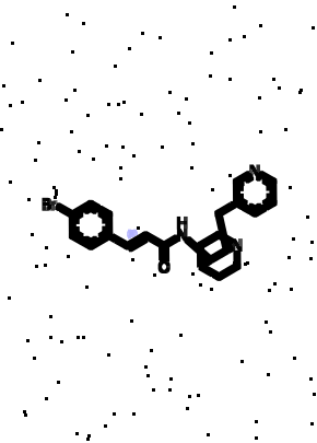 O=C(/C=C/c1ccc(Br)cc1)NC1C2CCN(CC2)C1Cc1cccnc1